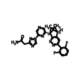 CC1(C)[C@H]2CC[C@]1(c1cncc(-n3cnc(CC(N)=O)n3)n1)c1nnc(-c3c(F)cccc3F)cc12